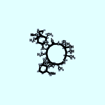 CC[C@H]1OC(=O)[C@H](C)[C@@H](O[C@H]2C[C@@](C)(OC)[C@]3(CO3)[C@H](C)O2)[C@H](C)[C@@H](O[C@@H]2OCC[C@H](NC)[C@H]2C)[C@](C)(O)C[C@@H](C)CN[C@H](C)[C@@H](O)[C@]1(C)O